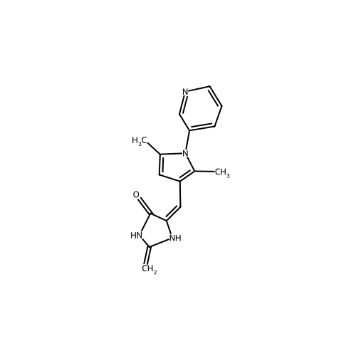 C=c1[nH]c(=O)/c(=C\c2cc(C)n(-c3cccnc3)c2C)[nH]1